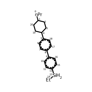 CCCC1CCC(c2ccc(-c3ccc([SiH2]CC)cc3)cc2)CC1